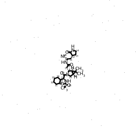 CC1(C)[C@@H]2[C@@H](CC(=O)N[C@H](C#N)C[C@@H]3CCNC3=O)N(C(=O)[C@@H](NS(=O)(=O)C(F)(F)F)C3CCCCC3)C[C@@H]21